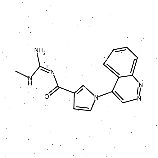 CN/C(N)=N\C(=O)c1ccn(-c2cnnc3ccccc23)c1